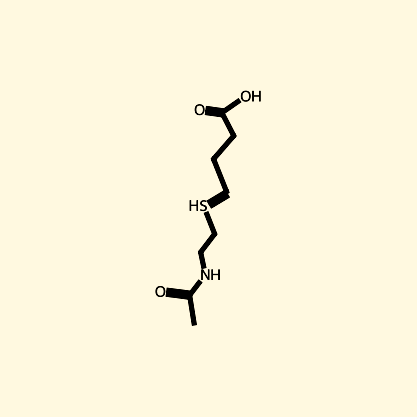 CC(=O)NCC[SH]=CCCC(=O)O